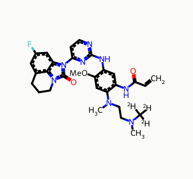 [2H]C([2H])([2H])N(C)CCN(C)c1cc(OC)c(Nc2nccc(-n3c(=O)n4c5c(cc(F)cc53)CCC4)n2)cc1NC(=O)C=C